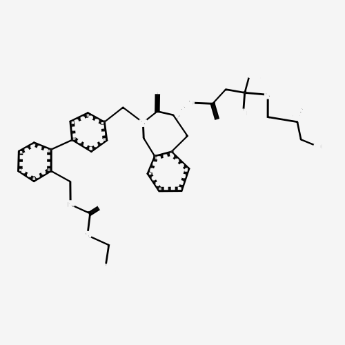 CCNC(=O)NCc1ccccc1-c1ccc(CN2Cc3ccccc3C[C@@H](NC(=O)CC(C)(C)NC[C@H](O)CO)C2=O)cc1